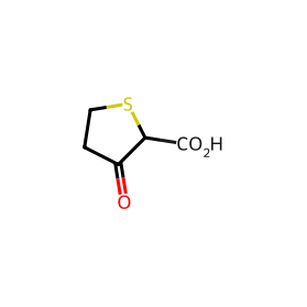 O=C(O)C1SCCC1=O